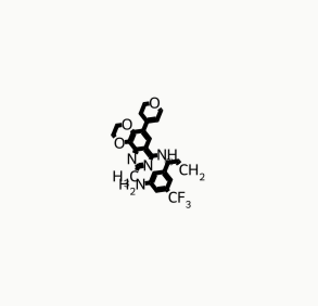 C=C[C@@H](Nc1nc(C)nc2c3c(c(C4=CCOCC4)cc12)OCCO3)c1cc(N)cc(C(F)(F)F)c1